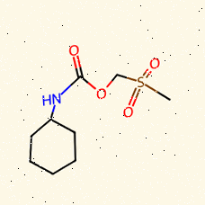 CS(=O)(=O)COC(=O)NC1CCCCC1